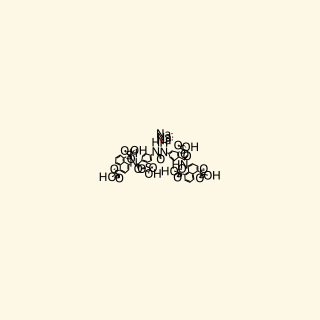 O=C(Nc1ccc(C(=O)Nc2ccc(S(=O)(=O)O)c3cccc(S(=O)(=O)O)c23)c(S(=O)(=O)O)c1)Nc1ccc(C(=O)Nc2ccc(S(=O)(=O)O)c3cccc(S(=O)(=O)O)c23)c(S(=O)(=O)O)c1.[Na].[Na].[Na]